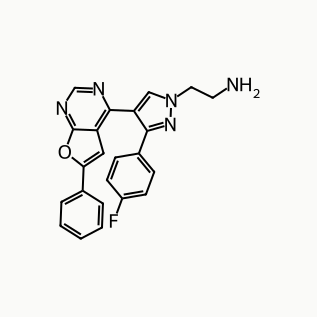 NCCn1cc(-c2ncnc3oc(-c4ccccc4)cc23)c(-c2ccc(F)cc2)n1